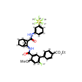 CCOC(=O)c1ccc(-c2cc(C(=O)NC3C4CCC(C4)C3C(=O)Nc3cccc(S(F)(F)(F)(F)F)c3)c(OC)cc2F)cc1